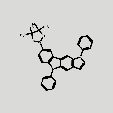 CC1(C)OB(c2ccc3c(c2)c2cc4c(ccn4-c4ccccc4)cc2n3-c2ccccc2)OC1(C)C